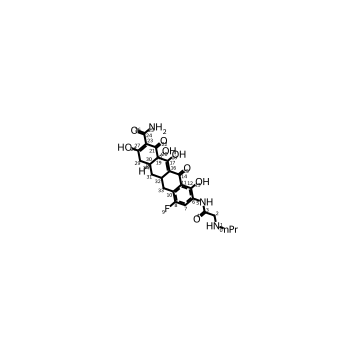 CCCNCC(=O)Nc1cc(F)c2c(c1O)C(=O)C1=C(O)[C@]3(O)C(=O)C(C(N)=O)=C(O)C[C@@H]3CC1C2